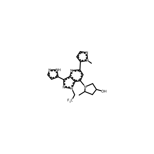 CC1CC(O)CN1c1cc(-c2ccnn2C)nc2c(-c3ccn[nH]3)nn(CC(F)(F)F)c12